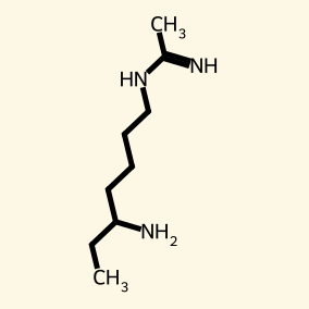 CCC(N)CCCCNC(C)=N